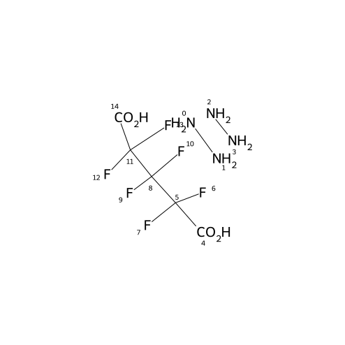 NN.NN.O=C(O)C(F)(F)C(F)(F)C(F)(F)C(=O)O